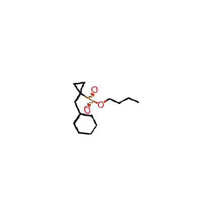 CCCCOS(=O)(=O)C1(CC2CCCCC2)CC1